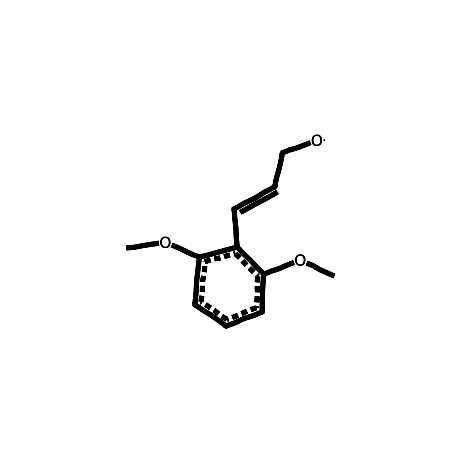 COc1cccc(OC)c1C=CC[O]